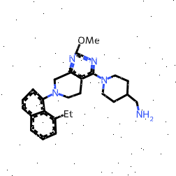 CCc1cccc2cccc(N3CCc4c(nc(OC)nc4N4CCC(CN)CC4)C3)c12